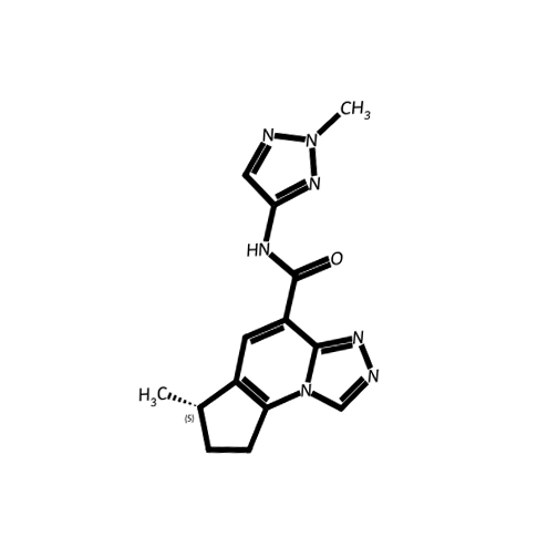 C[C@H]1CCc2c1cc(C(=O)Nc1cnn(C)n1)c1nncn21